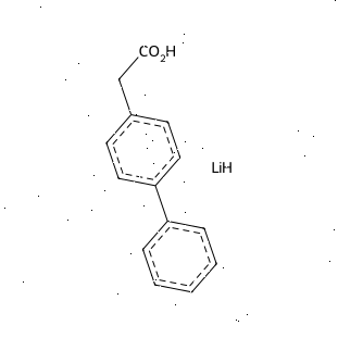 O=C(O)Cc1ccc(-c2ccccc2)cc1.[LiH]